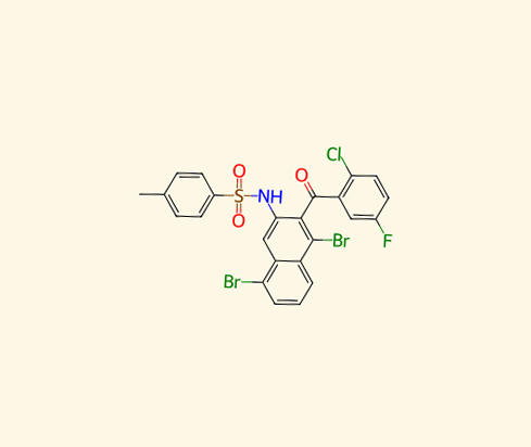 Cc1ccc(S(=O)(=O)Nc2cc3c(Br)cccc3c(Br)c2C(=O)c2cc(F)ccc2Cl)cc1